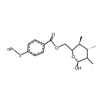 CCCSc1ccc(C(=O)OCC2O[C@H](O)C(C)[C@@H](C)[C@@H]2C)cc1